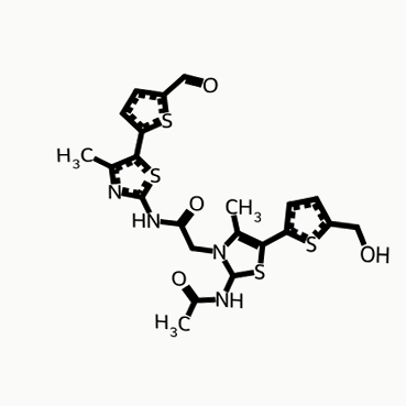 CC(=O)NC1SC(c2ccc(CO)s2)=C(C)N1CC(=O)Nc1nc(C)c(-c2ccc(C=O)s2)s1